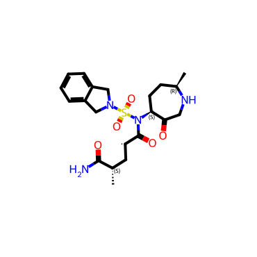 C[C@@H]1CC[C@H](N(C(=O)[CH]C[C@H](C)C(N)=O)S(=O)(=O)N2Cc3ccccc3C2)C(=O)CN1